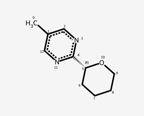 Cc1cnc([C@H]2CCCCO2)nc1